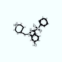 O=S(=O)(c1ccccc1)c1nn(CC2CCNCC2)c2cc(Cl)ccc12